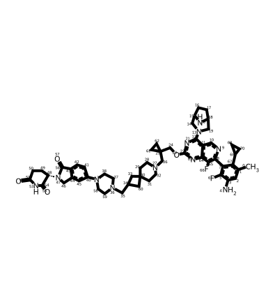 Cc1cc(N)c(F)c(-c2ncc3c(N4CC5CCC(C4)N5)nc(OCC4(CN5CCC6(CC5)CC(CN5CCN(c7ccc8c(c7)CN([C@H]7CCC(=O)NC7=O)C8=O)CC5)C6)CC4)nc3c2F)c1C1CC1